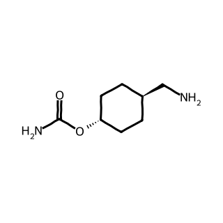 NC[C@H]1CC[C@H](OC(N)=O)CC1